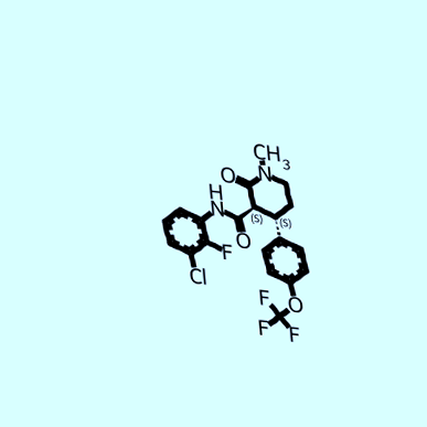 CN1CC[C@H](c2ccc(OC(F)(F)F)cc2)[C@@H](C(=O)Nc2cccc(Cl)c2F)C1=O